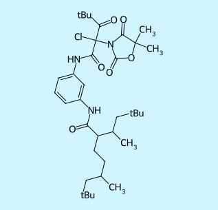 CC(CCC(C(=O)Nc1cccc(NC(=O)C(Cl)(C(=O)C(C)(C)C)N2C(=O)OC(C)(C)C2=O)c1)C(C)CC(C)(C)C)CC(C)(C)C